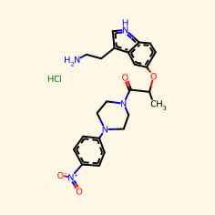 CC(Oc1ccc2[nH]cc(CCN)c2c1)C(=O)N1CCN(c2ccc([N+](=O)[O-])cc2)CC1.Cl